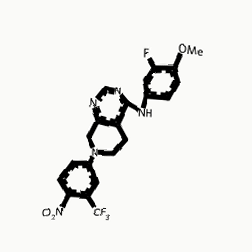 COc1ccc(Nc2ncnc3c2CCN(c2ccc([N+](=O)[O-])c(C(F)(F)F)c2)C3)cc1F